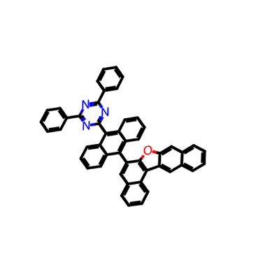 c1ccc(-c2nc(-c3ccccc3)nc(-c3c4ccccc4c(-c4cc5ccccc5c5c4oc4cc6ccccc6cc45)c4ccccc34)n2)cc1